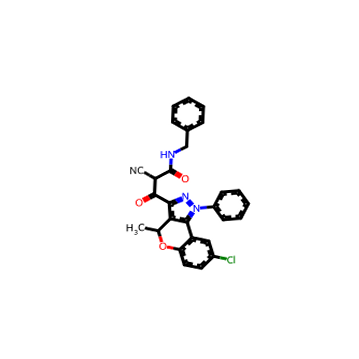 CC1Oc2ccc(Cl)cc2-c2c1c(C(=O)C(C#N)C(=O)NCc1ccccc1)nn2-c1ccccc1